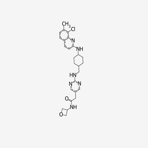 Cc1ccc2ccc(NC3CCC(CNc4ncc(CC(=O)NC5COC5)cn4)CC3)nc2c1Cl